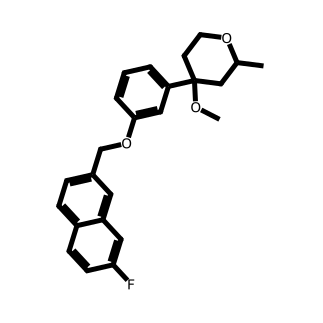 COC1(c2cccc(OCc3ccc4ccc(F)cc4c3)c2)CCOC(C)C1